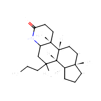 CCCC1(C)CC2NC(=O)CC[C@]2(C)[C@@H]2CC[C@]3(C)CCC[C@H]3[C@@H]21